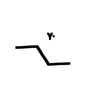 CCCC.[Y]